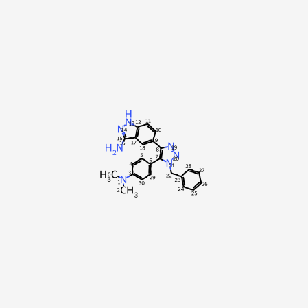 CN(C)c1ccc(-c2c(-c3ccc4[nH]nc(N)c4c3)nnn2Cc2ccccc2)cc1